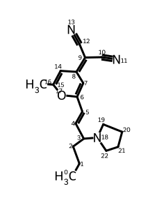 CCCC(C=CC1=CC(=C(C#N)C#N)C=C(C)O1)N1CCCC1